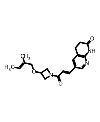 CC=C(C)COC1CN(C(=O)C=Cc2cnc3c(c2)CCC(=O)N3)C1